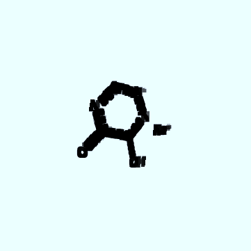 O=c1nc[n-]nc1O.[Na+]